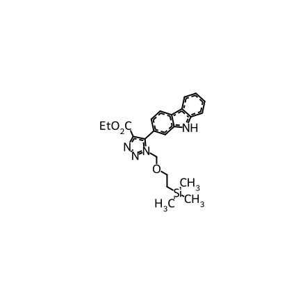 CCOC(=O)c1nnn(COCC[Si](C)(C)C)c1-c1ccc2c(c1)[nH]c1ccccc12